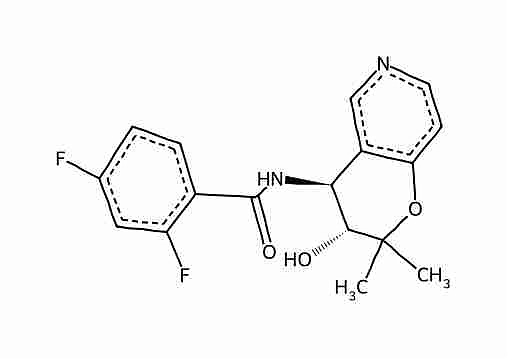 CC1(C)Oc2ccncc2[C@H](NC(=O)c2ccc(F)cc2F)[C@H]1O